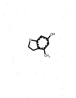 Cc1cc(O)cc2c1CCO2